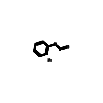 O=POc1ccccc1.[Zn]